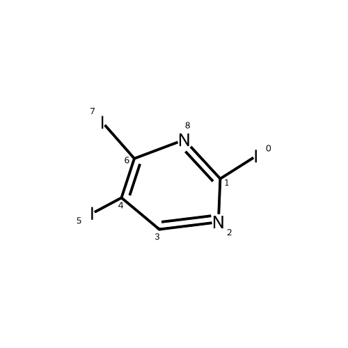 Ic1ncc(I)c(I)n1